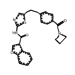 O=C(Nc1ncc(Cc2ccc(C(=O)N3CCC3)cc2)s1)c1coc2ccccc12